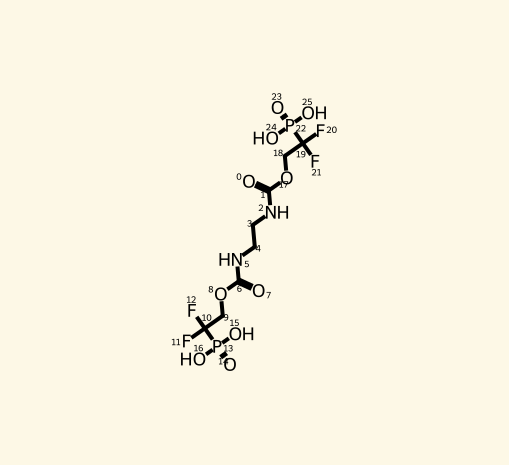 O=C(NCCNC(=O)OCC(F)(F)P(=O)(O)O)OCC(F)(F)P(=O)(O)O